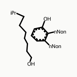 CC(C)CCCCCCCO.CCCCCCCCCc1cccc(O)c1CCCCCCCCC